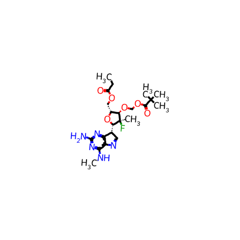 CCC(=O)OC[C@H]1O[C@@H](C2C=Nc3c(NC)nc(N)nc32)[C@](C)(F)[C@@H]1OCOC(=O)C(C)(C)C